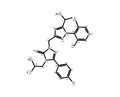 CC(=O)OC(C)c1nc(Cn2nc(-c3ccc(Cl)cc3)n(CC(O)C(F)(F)F)c2=O)nn1-c1c(Cl)cncc1Cl